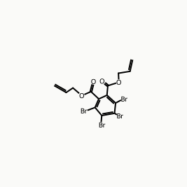 C=CCOC(=O)c1c(Br)c(Br)c(Br)c(Br)c1C(=O)OCC=C